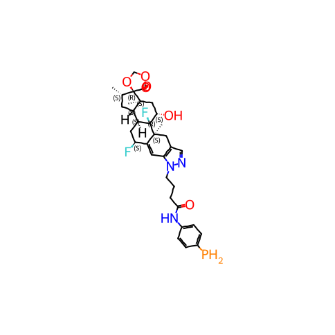 C[C@H]1C[C@H]2[C@@H]3C[C@H](F)C4=Cc5c(cnn5CCCC(=O)Nc5ccc(P)cc5)C[C@]4(C)[C@@]3(F)[C@@H](O)C[C@]2(C)[C@]12OCOC21COCO1